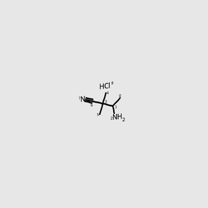 CC(N)C(C)(C)C#N.Cl